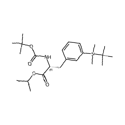 CC(C)OC(=O)[C@@H](Cc1cccc([Si](C)(C)C(C)(C)C)c1)NC(=O)OC(C)(C)C